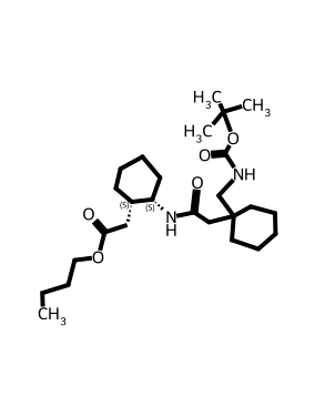 CCCCOC(=O)C[C@@H]1CCCC[C@@H]1NC(=O)CC1(CNC(=O)OC(C)(C)C)CCCCC1